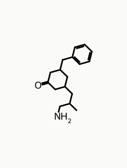 CC(CN)CC1CC(=O)CC(Cc2ccccc2)C1